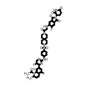 CC(C)N1c2cc(-c3nc(Nc4ccc(S(=O)(=O)N5CCC6(CCN(C(=O)CNc7cc8c(cc7F)C(=O)N(C7CCC(=O)NC7=O)C8=O)CC6)CC5)cc4)ncc3F)cc(F)c2C=CC1C